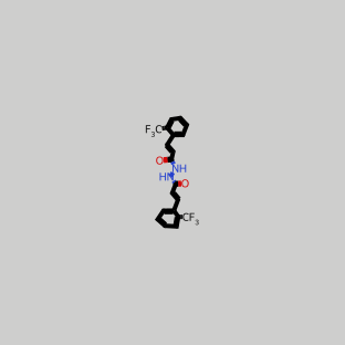 O=C(/C=C/c1ccccc1C(F)(F)F)NNC(=O)/C=C/c1ccccc1C(F)(F)F